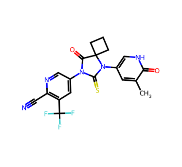 Cc1cc(N2C(=S)N(c3cnc(C#N)c(C(F)(F)F)c3)C(=O)C23CCC3)c[nH]c1=O